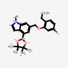 CCOC(=O)Cc1ccc(F)cc1OCc1cc(B2OC(C)(C)C(C)(C)O2)c2ccn(C(C)C)c2c1